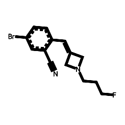 N#Cc1cc(Br)ccc1C=C1CN(CCCF)C1